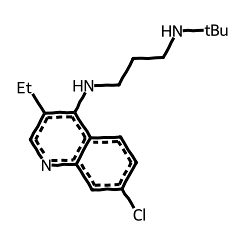 CCc1cnc2cc(Cl)ccc2c1NCCCNC(C)(C)C